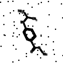 CC(Nc1ccc(C(=O)OC(C)(C)C)cc1)C(=O)O